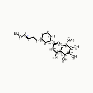 CCO/N=C/CC[C@@H]1CCN[C@H](C(=O)N[C@H](C(C)C)[C@H]2O[C@H](SC)[C@H](O)[C@@H](O)[C@H]2O)C1